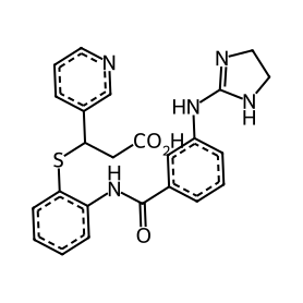 O=C(O)CC(Sc1ccccc1NC(=O)c1cccc(NC2=NCCN2)c1)c1cccnc1